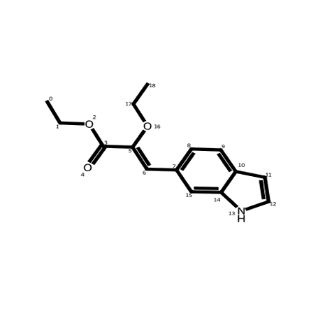 CCOC(=O)/C(=C/c1ccc2cc[nH]c2c1)OCC